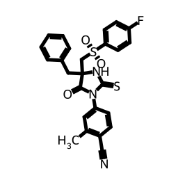 Cc1cc(N2C(=O)C(Cc3ccccc3)(CS(=O)(=O)c3ccc(F)cc3)NC2=S)ccc1C#N